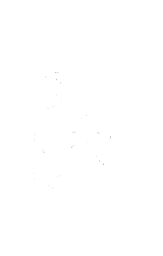 CCCC(N)=O.Cc1cc([N+](=O)[O-])cc(C)c1C(=O)c1ccccc1